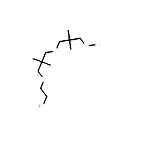 CCC(C)OCC(C)(C)COCC(C)(C)COCCC(C)C